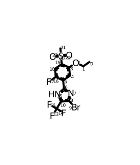 CCOc1cc(-c2nc(Br)c(C(F)(F)F)[nH]2)c(F)cc1S(C)(=O)=O